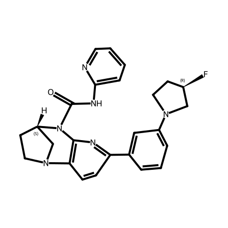 O=C(Nc1ccccn1)N1c2nc(-c3cccc(N4CC[C@@H](F)C4)c3)ccc2N2CC[C@H]1C2